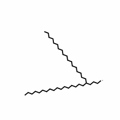 [CH2]CCCC(CCCCCCCCCCCCCCCCC)CCCCCCCCCCCCCCCCCC